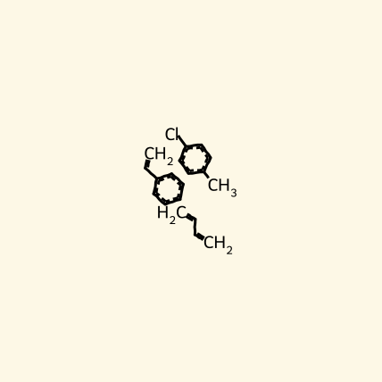 C=CC=C.C=Cc1ccccc1.Cc1ccc(Cl)cc1